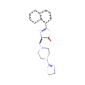 O=C1OC(c2cccc3ccccc23)=N/C1=C/N1CCN(C2=NCCO2)CC1